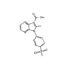 Cc1c(C(=O)O)c2cccnc2n1-c1ccc(S(C)(=O)=O)cc1